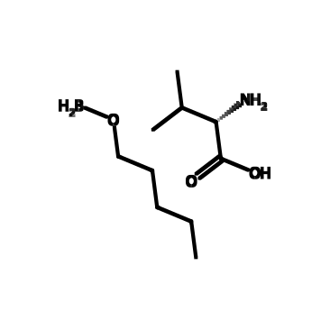 BOCCCCC.CC(C)[C@H](N)C(=O)O